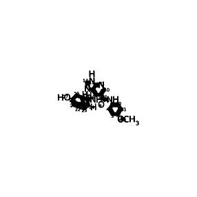 COc1ccc(NC(=O)c2cnc3[nH]cnc3c2N[C@H]2[C@@H]3CC4C[C@H]2C[C@@](O)(C4)C3)cc1